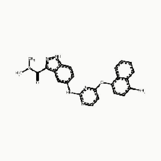 CN(C)C(=O)c1n[nH]c2ccc(Nc3nccc(Oc4ccc(N)c5ccccc45)n3)cc12